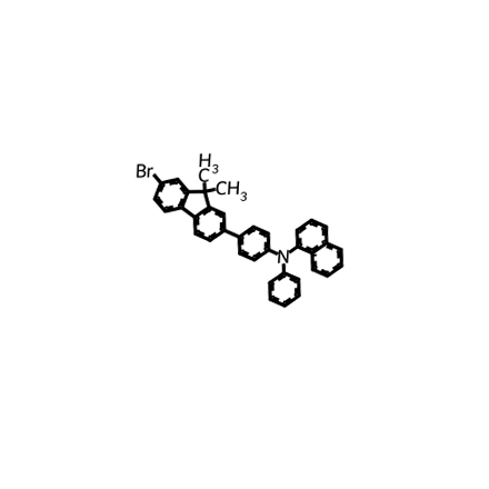 CC1(C)c2cc(Br)ccc2-c2ccc(-c3ccc(N(c4ccccc4)c4cccc5ccccc45)cc3)cc21